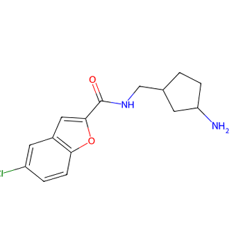 NC1CCC(CNC(=O)c2cc3cc(Cl)ccc3o2)C1